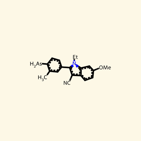 CCn1c(-c2ccc([AsH2])c(C)c2)c(C#N)c2ccc(OC)cc21